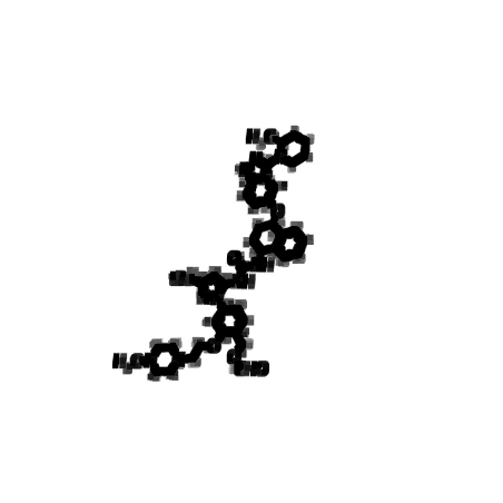 C[C@H]1CCCCN1c1nnc2ccc(O[C@@H]3CC[C@H](NC(=O)Nc4cc(C(C)(C)C)nn4-c4ccc(COC=O)c(OCCN5CCN(C)CC5)c4)c4ccccc43)cn12